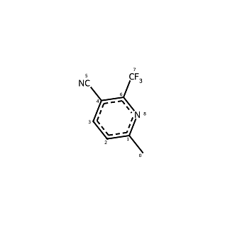 Cc1ccc(C#N)c(C(F)(F)F)n1